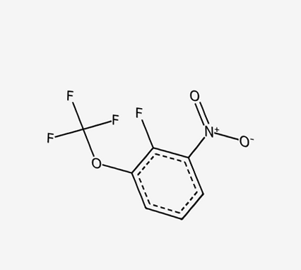 O=[N+]([O-])c1cccc(OC(F)(F)F)c1F